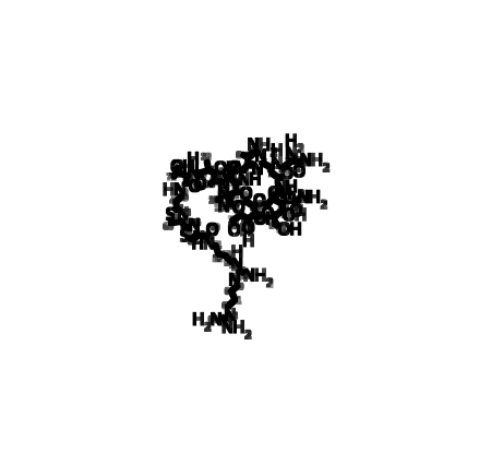 Cc1c(N)nc(C(CC(N)=O)NCC(N)C(N)=O)nc1C(=O)NC(C(=O)NC(C)C(O)C(C)C(=O)NC(C(=O)NCCC1=NC(c2nc(C(=O)NCCCCNC(N)=NCCCCN=C(N)N)cs2)CS1)C(C)O)C(OC1OC(CO)C(O)C(O)C1OC1OC(CO)C(O)C(OC(N)=O)C1O)c1cnc[nH]1